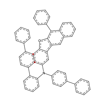 c1ccc(-c2ccc(-c3ccccc3N(c3ccc(-c4ccccc4)cc3)c3ccc4oc5c(-c6ccccc6)c6ccccc6cc5c4c3)cc2)cc1